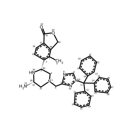 Cc1c([C@@H]2CN(Cc3ncn(C(c4ccccc4)(c4ccccc4)c4ccccc4)n3)C[C@H](N)N2)ccc2c1COC2=O